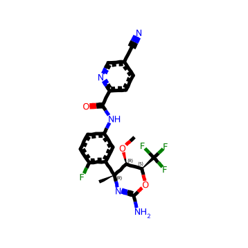 CO[C@H]1[C@@H](C(F)(F)F)OC(N)=N[C@]1(C)c1cc(NC(=O)c2ccc(C#N)cn2)ccc1F